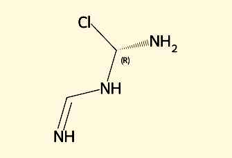 N=CN[C@@H](N)Cl